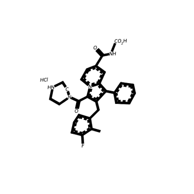 Cc1c(F)cccc1Cc1c(-c2ccccc2)c2cc(C(=O)NC(=O)O)ccn2c1C(=O)N1CCNCC1.Cl